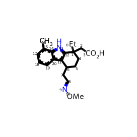 CCC1(CC(=O)O)CCC(CC=NOC)c2c1[nH]c1c(C)cccc21